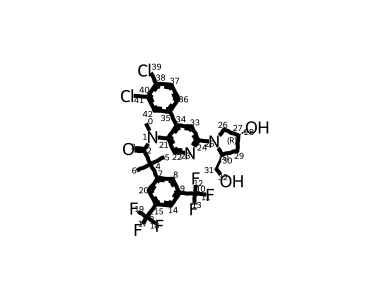 CN(C(=O)C(C)(C)c1cc(C(F)(F)F)cc(C(F)(F)F)c1)c1cnc(N2C[C@H](O)C[C@H]2CO)cc1-c1ccc(Cl)c(Cl)c1